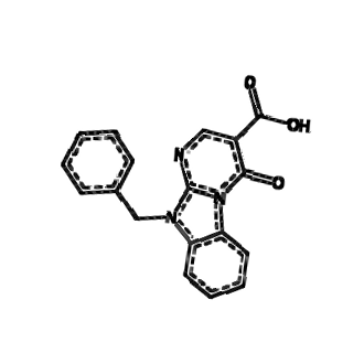 O=C(O)c1cnc2n(Cc3ccccc3)c3ccccc3n2c1=O